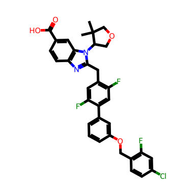 CC1(C)COCC1n1c(Cc2cc(F)c(-c3cccc(OCc4ccc(Cl)cc4F)c3)cc2F)nc2ccc(C(=O)O)cc21